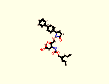 C=CC=C(C=CC)COC(=O)NC(CC(=O)O)C(=O)CON1C(=O)CCC1c1ccc(-c2ccccc2)cc1